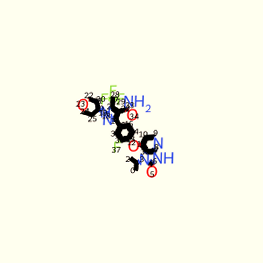 CC(C)n1c(=O)[nH]c2nccc(Oc3ccc(-c4nn(C5CCOCC5)c(C(F)(F)F)c4C(N)=O)cc3F)c21